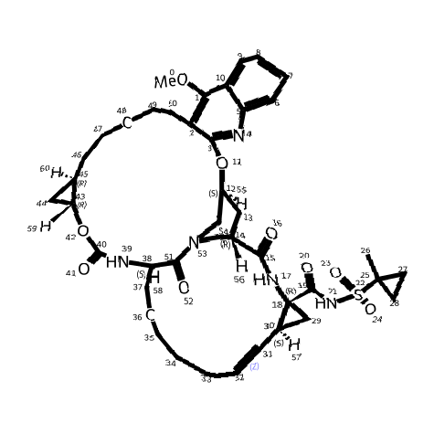 COc1c2c(nc3ccccc13)O[C@H]1C[C@@H]3C(=O)N[C@]4(C(=O)NS(=O)(=O)C5(C)CC5)C[C@H]4/C=C\CCCCC[C@H](NC(=O)O[C@@H]4C[C@H]4CCCCC2)C(=O)N3C1